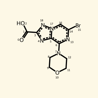 O=C(O)c1nc2c(N3CCOCC3)nc(Br)cn2n1